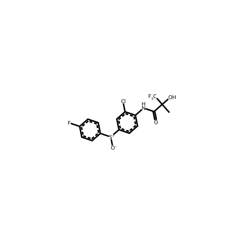 CC(O)(C(=O)Nc1ccc([S+]([O-])c2ccc(F)cc2)cc1Cl)C(F)(F)F